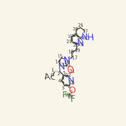 CC(=O)C[C@@H](c1ccc(OC(F)F)nc1)N1CCN(CCCc2ccc3c(n2)NCCC3)C1=O